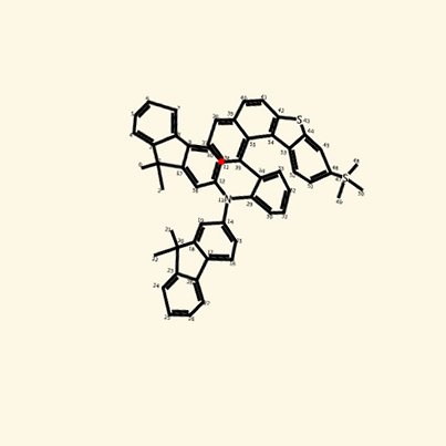 CC1(C)c2ccccc2-c2ccc(N(c3ccc4c(c3)C(C)(C)c3ccccc3-4)c3ccccc3-c3cccc4ccc5sc6cc(S(C)(C)C)ccc6c5c34)cc21